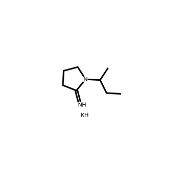 CCC(C)N1CCCC1=N.[KH]